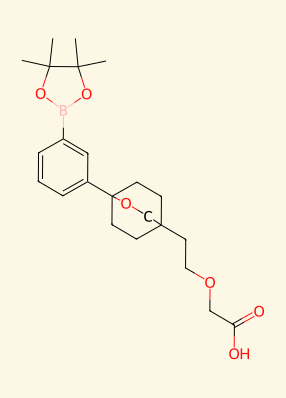 CC1(C)OB(c2cccc(C34CCC(CCOCC(=O)O)(CC3)CO4)c2)OC1(C)C